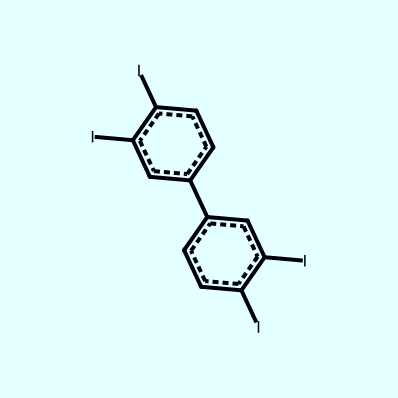 Ic1ccc(-c2ccc(I)c(I)c2)cc1I